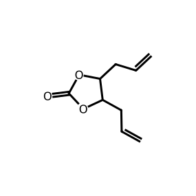 C=CCC1OC(=O)OC1CC=C